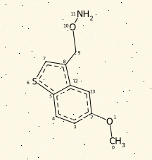 COc1ccc2scc(CON)c2c1